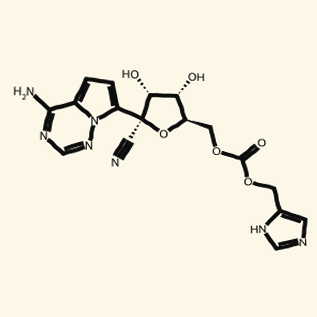 N#C[C@@]1(c2ccc3c(N)ncnn23)O[C@H](COC(=O)OCc2cnc[nH]2)[C@@H](O)[C@H]1O